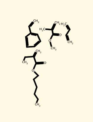 C=C(C)C(=O)OC.C=C(CC)C(=O)OCCCCCC.C=CC=C.C=Cc1ccccc1